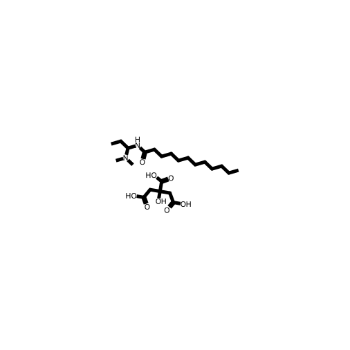 CCCCCCCCCCCC(=O)NC(CC)N(C)C.O=C(O)CC(O)(CC(=O)O)C(=O)O